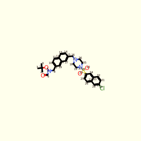 CC(C)(C)ON(C=O)Cc1ccc2ccc(CN3CCN(S(=O)(=O)c4ccc5cc(Cl)ccc5c4)CC3)cc2c1